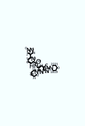 Cn1cc(-c2cccc(C(=O)Nc3cc4sc(N5CCCCC5)nc4nc3N3CCCCC3)n2)cn1